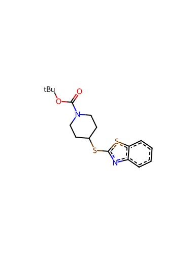 CC(C)(C)OC(=O)N1CCC(Sc2nc3ccccc3s2)CC1